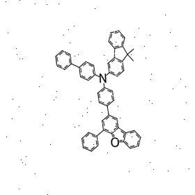 CC1(C)c2ccccc2-c2cc(N(c3ccc(-c4ccccc4)cc3)c3ccc(-c4cc(-c5ccccc5)c5oc6ccccc6c5c4)cc3)ccc21